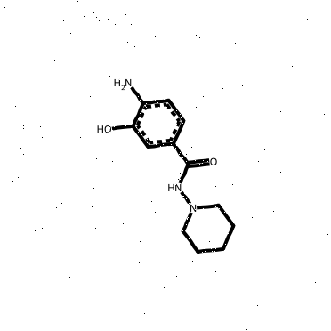 Nc1ccc(C(=O)NN2CCCCC2)cc1O